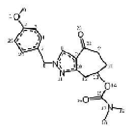 COc1ccc(Cn2cc3c(n2)CC(OC(=O)N(C)C)CCC3=O)cc1